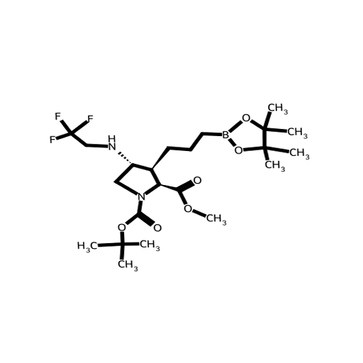 COC(=O)[C@@H]1[C@H](CCCB2OC(C)(C)C(C)(C)O2)[C@@H](NCC(F)(F)F)CN1C(=O)OC(C)(C)C